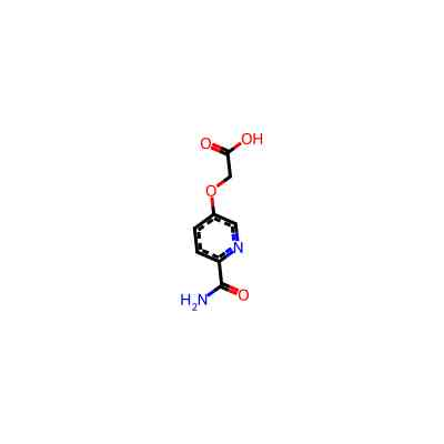 NC(=O)c1ccc(OCC(=O)O)cn1